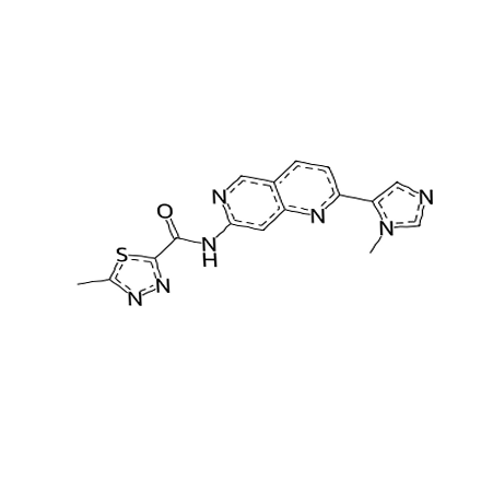 Cc1nnc(C(=O)Nc2cc3nc(-c4cncn4C)ccc3cn2)s1